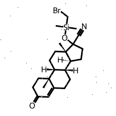 C[C@]12CCC(=O)C=C1CC[C@@H]1[C@H]2CC[C@@]2(C)[C@H]1CCC2(C#N)O[Si](C)(C)CBr